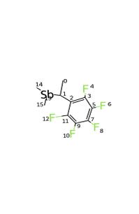 C[CH](c1c(F)c(F)c(F)c(F)c1F)[Sb]([CH3])[CH3]